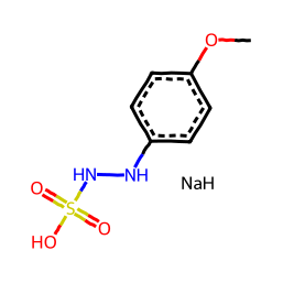 COc1ccc(NNS(=O)(=O)O)cc1.[NaH]